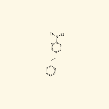 CCN(CC)c1ccc(CCc2c[c]ccc2)cn1